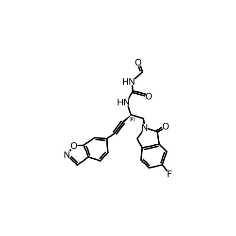 O=CNC(=O)N[C@H](C#Cc1ccc2cnoc2c1)CN1Cc2ccc(F)cc2C1=O